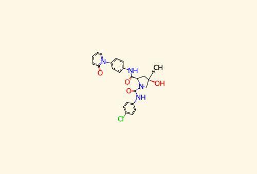 C#C[C@@]1(O)C[C@H](C(=O)Nc2ccc(-n3ccccc3=O)cc2)N(C(=O)Nc2ccc(Cl)cc2)C1